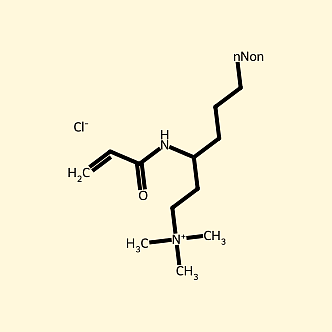 C=CC(=O)NC(CCCCCCCCCCCC)CC[N+](C)(C)C.[Cl-]